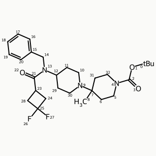 CC(C)(C)OC(=O)N1CCC(C)(N2CCC(N(Cc3ccccc3)C(=O)C3CC(F)(F)C3)CC2)CC1